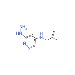 C=C(C)CNc1cnnc(NN)c1